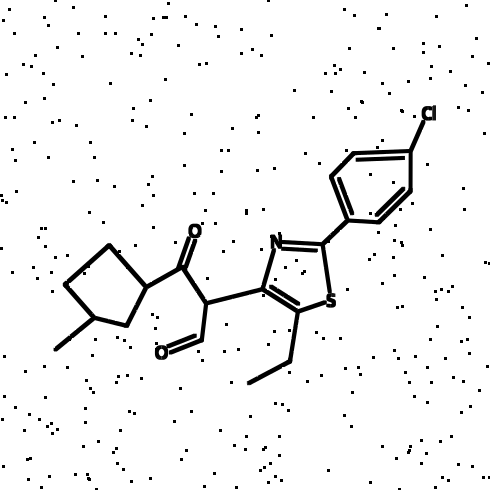 CCc1sc(-c2ccc(Cl)cc2)nc1C(C=O)C(=O)C1CCC(C)C1